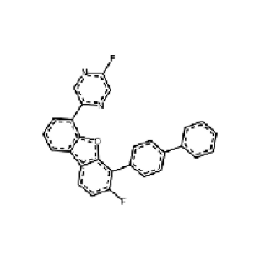 Fc1cnc(-c2cccc3c2oc2c(-c4ccc(-c5ccccc5)cc4)c(F)ccc23)cn1